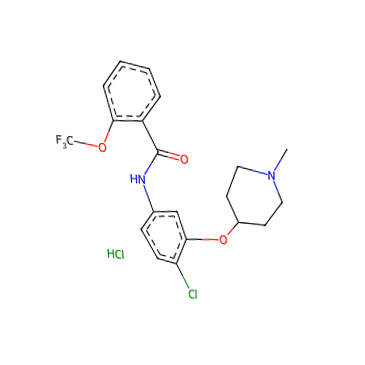 CN1CCC(Oc2cc(NC(=O)c3ccccc3OC(F)(F)F)ccc2Cl)CC1.Cl